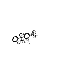 NC(=O)C(O)(c1ccccc1)c1ccc([N+](=O)[O-])cc1